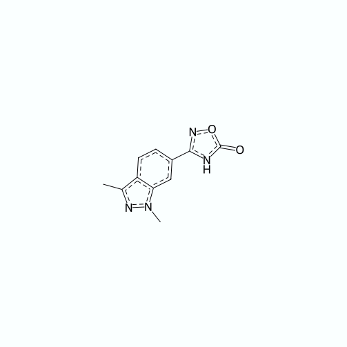 Cc1nn(C)c2cc(-c3noc(=O)[nH]3)ccc12